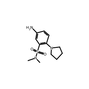 CN(C)S(=O)(=O)c1cc(N)ccc1N1CCCC1